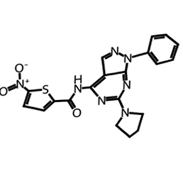 O=C(Nc1nc(N2CCCC2)nc2c1cnn2-c1ccccc1)c1ccc([N+](=O)[O-])s1